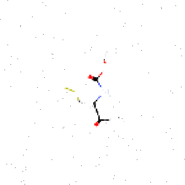 COC(=O)[C@H](CSS)NC(=O)OC(C)(C)C